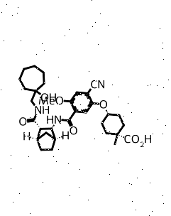 COc1cc(C#N)c(O[C@H]2CC[C@@](C)(C(=O)O)CC2)cc1C(=O)N[C@@H]1[C@H]2CC[C@H](C2)[C@@H]1C(=O)NCC1(O)CCCCCC1